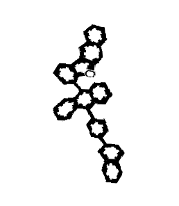 c1ccc2cc(-c3ccc(-c4c5ccccc5c(-c5cccc6c5oc5cc7ccccc7cc56)c5ccccc45)cc3)ccc2c1